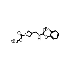 CC(C)(C)OC(=O)N1CC(CNC(=O)Oc2ccccc2Br)C1